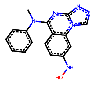 CN(c1ccccc1)c1nc2nncn2c2cc(NO)ccc12